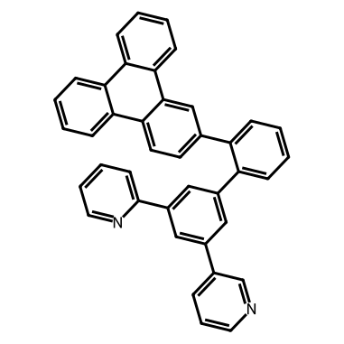 c1ccc(-c2cc(-c3cccnc3)cc(-c3ccccc3-c3ccc4c5ccccc5c5ccccc5c4c3)c2)nc1